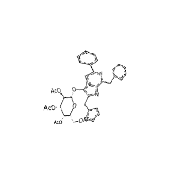 CC(=O)OC[C@H]1O[C@@H](Oc2c(Cc3ccco3)nc3c(Cc4ccccc4)nc(-c4ccccc4)cn23)[C@H](OC(C)=O)[C@@H](OC(C)=O)[C@H]1OC(C)=O